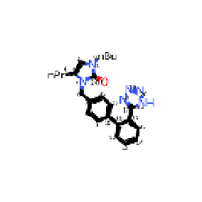 CCCCn1cc(CCC)n(Cc2ccc(-c3ccccc3-c3nnn[nH]3)cc2)c1=O